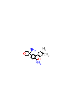 CC1(C)CC=C(c2cc(C3(CN)CCOCC3)ccc2C(N)=O)CC1